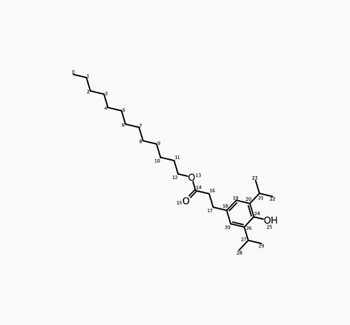 CCCCCCCCCCCCCOC(=O)CCc1cc(C(C)C)c(O)c(C(C)C)c1